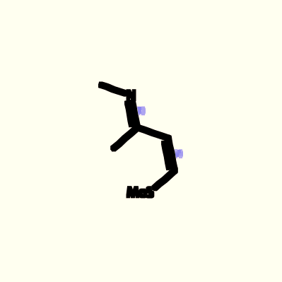 C/N=C(C)/C=C\SC